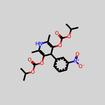 CC1=C(OC(=O)OC(C)C)C(c2cccc([N+](=O)[O-])c2)C(OC(=O)OC(C)C)=C(C)N1